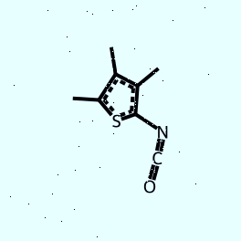 Cc1sc(N=C=O)c(C)c1C